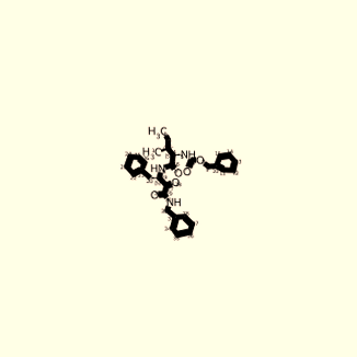 CC[C@H](C)[C@H](NC(=O)OCc1ccccc1)C(=O)N[C@@H](Cc1ccccc1)C(=O)C(=O)NCc1ccccc1